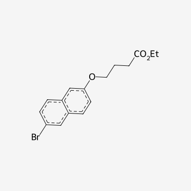 CCOC(=O)CCCOc1ccc2cc(Br)ccc2c1